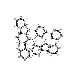 c1ccc(-c2cccc(N(c3cccc4c3sc3ccccc34)c3c4oc5ccccc5c4cc4oc5ccccc5c34)c2)cc1